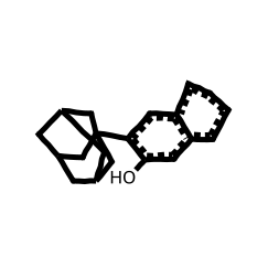 Oc1cc2ccccc2cc1C12CC3CC(CC(C3)C1)C2